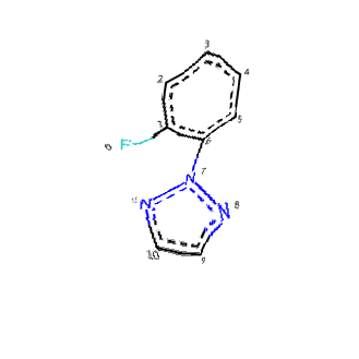 Fc1ccc[c]c1-n1nccn1